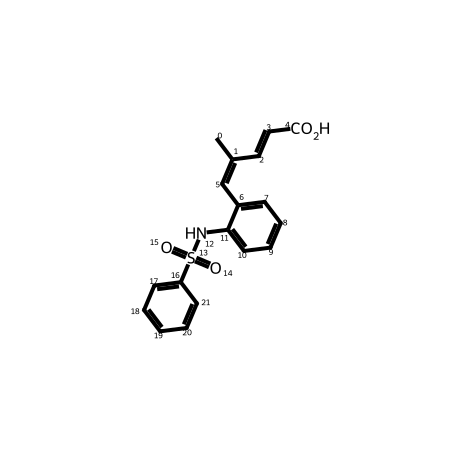 CC(C=CC(=O)O)=Cc1ccccc1NS(=O)(=O)c1ccccc1